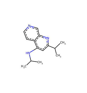 CC(C)Nc1cc(C(C)C)nc2cnccc12